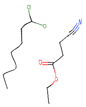 CCCCCCC(Cl)Cl.CCOC(=O)CCC#N